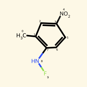 Cc1cc([N+](=O)[O-])ccc1NF